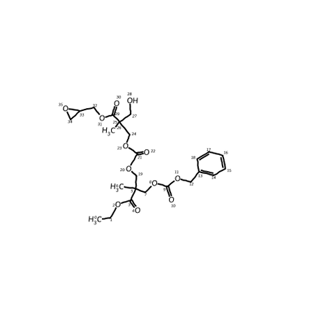 CCOC(=O)C(C)(COC(=O)OCc1ccccc1)COC(=O)OCC(C)(CO)C(=O)OCC1CO1